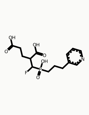 O=C(O)CCC(C(=O)O)C(F)P(=O)(O)CCCc1cccnc1